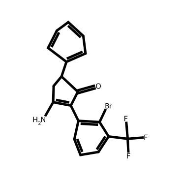 NC1=C(c2cccc(C(F)(F)F)c2Br)C(=O)C(c2ccccc2)C1